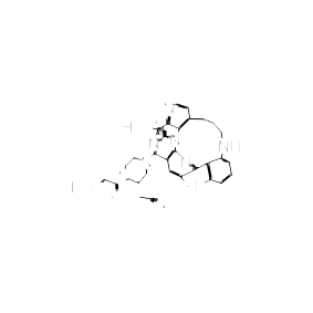 C=CC(=O)N1CCN(c2nc(=O)n3c4nc(c(F)cc24)-c2c(F)cccc2NCCCc2ccnc(C(C)C)c2-3)C[C@@H]1CC#N